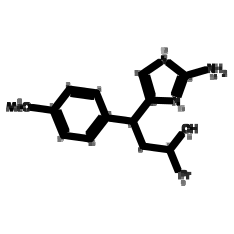 COc1ccc(C(CC(O)C(C)C)c2csc(N)n2)cc1